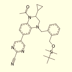 CC(=O)N1c2ccc(-c3cnc(C#N)nc3)cc2N(Cc2ccccc2CO[Si](C)(C)C(C)(C)C)CC1C1CC1